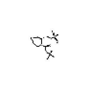 CC(C)(C)OC(=O)N1CCOC[C@@H]1COS(C)(=O)=O